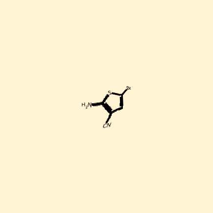 N#Cc1cc(Br)sc1N